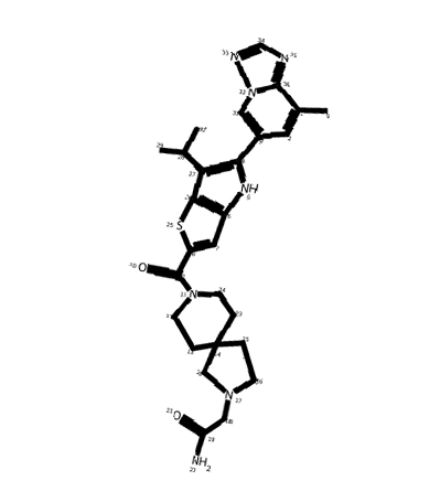 Cc1cc(-c2[nH]c3cc(C(=O)N4CCC5(CCN(CC(N)=O)C5)CC4)sc3c2C(C)C)cn2ncnc12